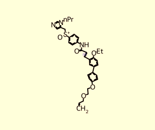 C=CCOCCOc1ccc(-c2ccc(OCC)c(/C=C/C(=O)Nc3ccc([S+]([O-])Cc4cncn4CCC)cc3)c2)cc1